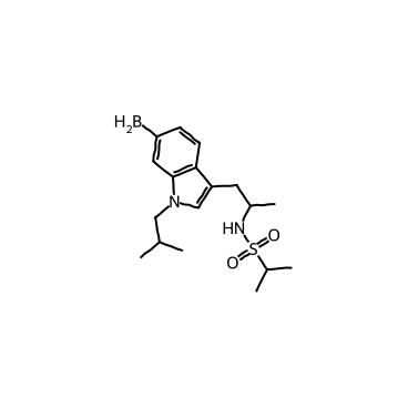 Bc1ccc2c(CC(C)NS(=O)(=O)C(C)C)cn(CC(C)C)c2c1